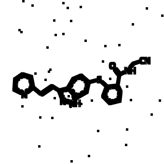 N#CCNC(=O)c1ccccc1Sc1ccc2c(/C=C/c3ccccn3)n[nH]c2c1